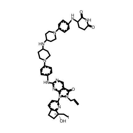 C=CCn1c(=O)c2cnc(Nc3ccc(N4CCC(NC5CCN(c6ccc(NC7CCC(=O)NC7=O)cc6)CC5)CC4)cc3)nc2n1-c1ccc2c(n1)[C@@](O)(CI)CC2